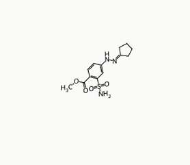 COC(=O)c1ccc(NN=C2CCCC2)cc1S(N)(=O)=O